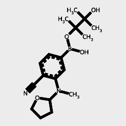 CN(c1cc(B(O)OC(C)(C)C(C)(C)O)ccc1C#N)C1CCCO1